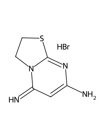 Br.N=c1cc(N)nc2n1CCS2